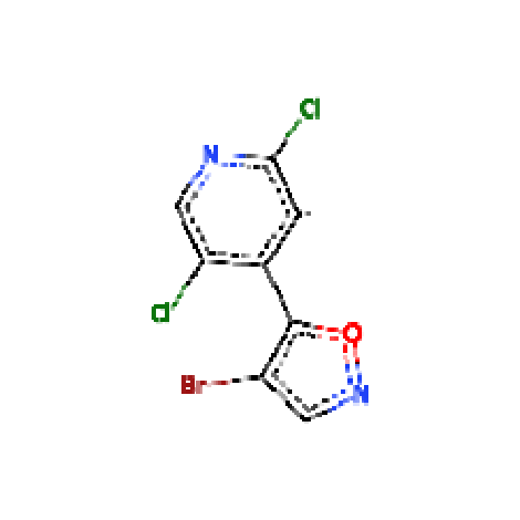 Clc1[c]c(-c2oncc2Br)c(Cl)cn1